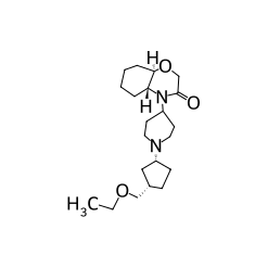 CCOC[C@H]1CC[C@@H](N2CCC(N3C(=O)CO[C@@H]4CCCC[C@H]43)CC2)C1